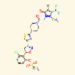 Cn1c(C(F)F)c(Br)c(=O)n1CC(=O)N1CCC(c2nc(C3=NOC(c4c(Cl)cccc4OS(C)(=O)=O)C3)cs2)CC1